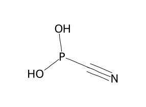 N#CP(O)O